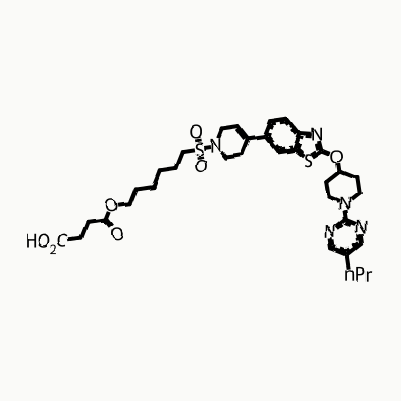 CCCc1cnc(N2CCC(Oc3nc4ccc(C5=CCN(S(=O)(=O)CCCCCCOC(=O)CCC(=O)O)CC5)cc4s3)CC2)nc1